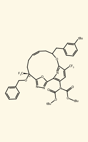 CC(C)(C)OC(=O)N(C(=O)OC(C)(C)C)c1cc(C(F)(F)F)c2nc1-c1nnc(o1)[C@@](OCc1ccccc1)(C(F)(F)F)CCC=CCC(Cc1cccc(C(C)(C)C)c1)O2